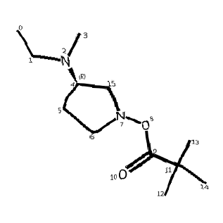 CCN(C)[C@@H]1CCN(OC(=O)C(C)(C)C)C1